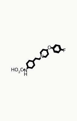 O=C(O)NC1CCC(CCN2CCC(Oc3ccc(F)cc3)CC2)CC1